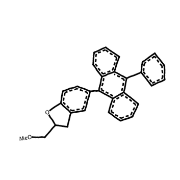 COCC1Cc2cc(-c3c4ccccc4c(-c4ccccc4)c4ccccc34)ccc2O1